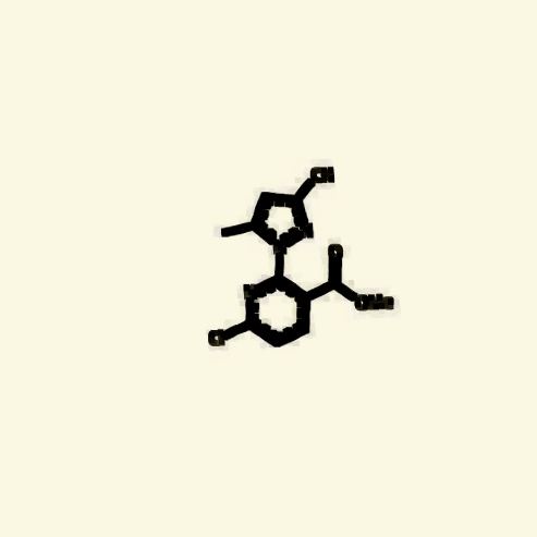 COC(=O)c1ccc(Cl)nc1-n1nc(C#N)cc1C